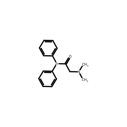 CN(C)C[C](=O)[Zr]([c]1ccccc1)[c]1ccccc1